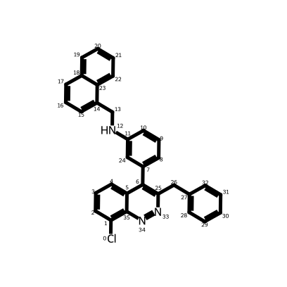 Clc1cccc2c(-c3cccc(NCc4cccc5ccccc45)c3)c(Cc3ccccc3)nnc12